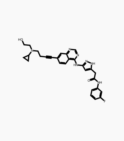 O=C(Cc1cc(Nc2ncnc3cc(C#CCCN(CCO)C4CC4)ccc23)n[nH]1)Nc1cccc(F)c1